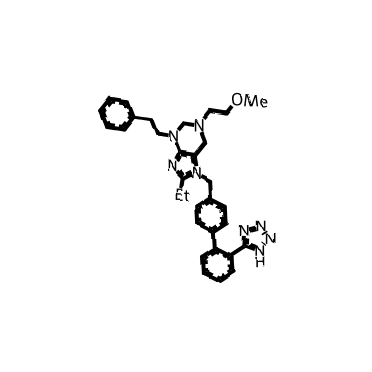 CCc1nc2c(n1Cc1ccc(-c3ccccc3-c3nnn[nH]3)cc1)CN(CCOC)CN2CCc1ccccc1